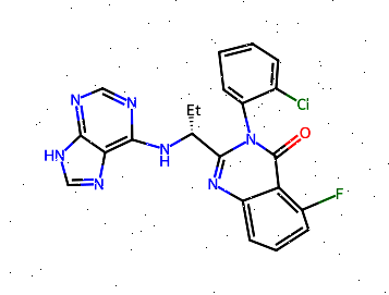 CC[C@@H](Nc1ncnc2[nH]cnc12)c1nc2cccc(F)c2c(=O)n1-c1ccccc1Cl